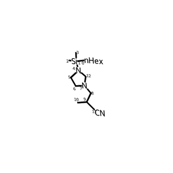 CCCCCC[Si](C)(C)N1CCN(CC(C)C#N)C1